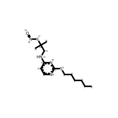 [CH2]CCCCCSc1nccc(NCC(C)(C)SN=O)n1